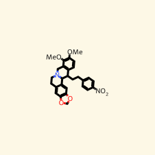 COc1ccc2c(c1OC)CN1CCc3cc4c(cc3C1C2CCc1ccc([N+](=O)[O-])cc1)OCO4